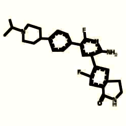 CC(C)N1CCC(c2ccc(-c3cc(-c4cc5c(cc4F)C(=O)NCC5)c(N)nc3F)cc2)CC1